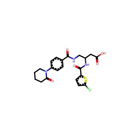 O=C(O)CC(CNC(=O)c1ccc(N2CCCCC2=O)cc1)NC(=O)c1ccc(Cl)s1